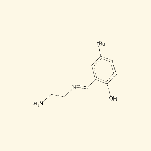 CC(C)(C)c1ccc(O)c(C=NCCN)c1